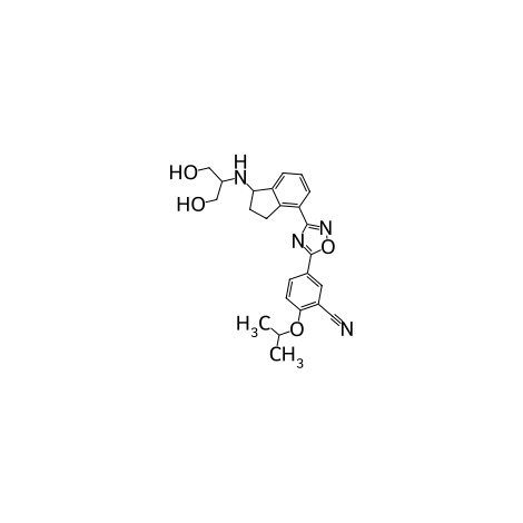 CC(C)Oc1ccc(-c2nc(-c3cccc4c3CCC4NC(CO)CO)no2)cc1C#N